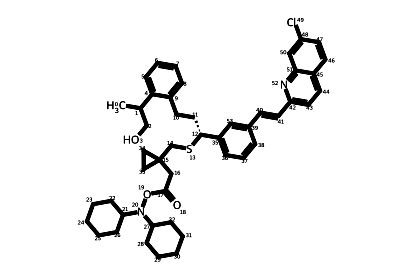 CC(CO)c1ccccc1CC[C@@H](SCC1(CC(=O)ON(C2CCCCC2)C2CCCCC2)CC1)c1cccc(C=Cc2ccc3ccc(Cl)cc3n2)c1